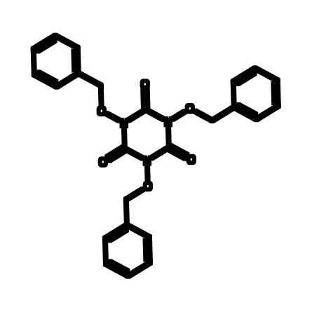 O=c1n(OCc2ccccc2)c(=O)n(OCc2ccccc2)c(=O)n1OCc1ccccc1